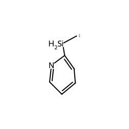 [CH][SiH2]c1ccccn1